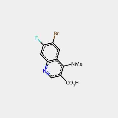 CNc1c(C(=O)O)cnc2cc(F)c(Br)cc12